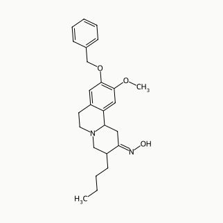 CCCCC1CN2CCc3cc(OCc4ccccc4)c(OC)cc3C2CC1=NO